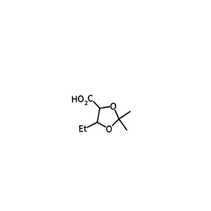 CCC1OC(C)(C)OC1C(=O)O